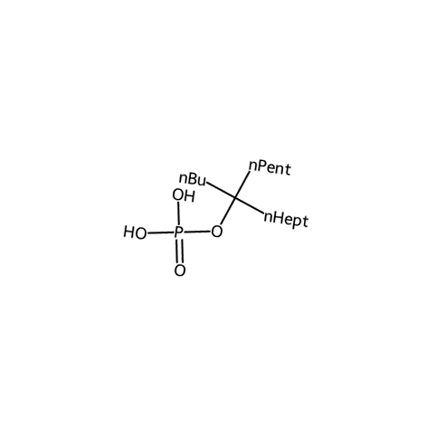 CCCCCCCC(CCCC)(CCCCC)OP(=O)(O)O